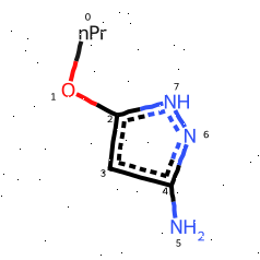 CCCOc1cc(N)n[nH]1